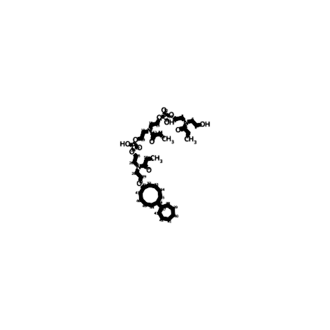 CCC(=O)N(CCO)CCOP(=O)(O)OCCN(CCOP(=O)(O)OCCN(CCOC1CCCCC(C2CCCCCC2)CCCC1)C(=O)CC)C(=O)CC